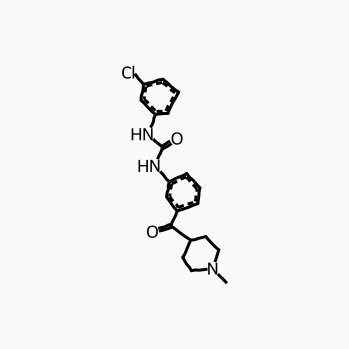 CN1CCC(C(=O)c2cccc(NC(=O)Nc3cccc(Cl)c3)c2)CC1